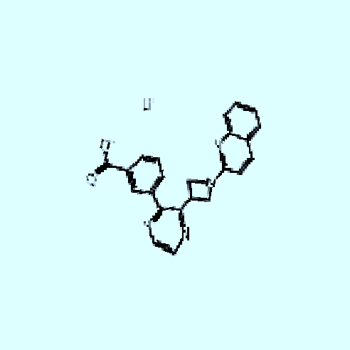 O=C([O-])c1cccc(-c2nccnc2C2CN(c3ccc4ccccc4n3)C2)c1.[Li+]